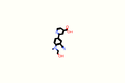 CN(CCO)c1ccc(-c2cc(C(=O)O)ccn2)cc1C#N